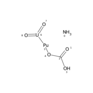 N.O=C(O)[O][Pu][U](=[O])=[O]